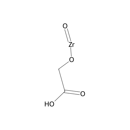 [O]=[Zr][O]CC(=O)O